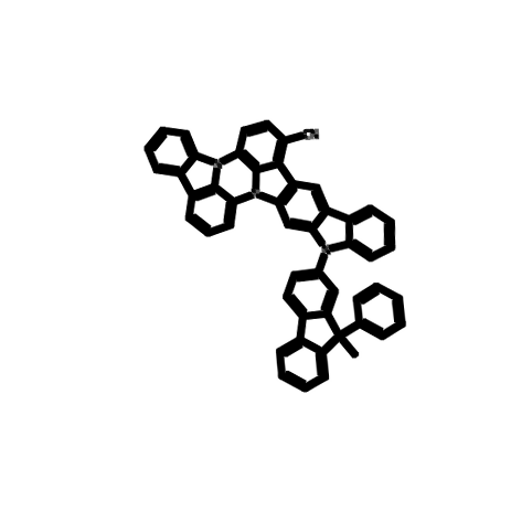 CC1(c2ccccc2)c2ccccc2-c2ccc(-n3c4ccccc4c4cc5c6c(C#N)ccc7c6n(c5cc43)c3cccc4c5ccccc5n7c43)cc21